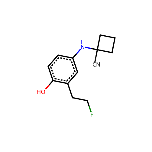 N#CC1(Nc2ccc(O)c(CCF)c2)CCC1